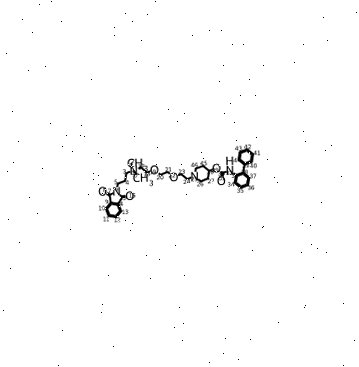 C[N+](C)(CCCN1C(=O)c2ccccc2C1=O)CCOCCOCCN1CCC(OC(=O)Nc2ccccc2-c2ccccc2)CC1